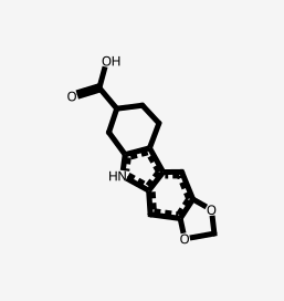 O=C(O)C1CCc2c([nH]c3cc4c(cc23)OCO4)C1